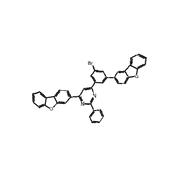 Brc1cc(-c2ccc3oc4ccccc4c3c2)cc(-c2cc(-c3ccc4c(c3)oc3ccccc34)nc(-c3ccccc3)n2)c1